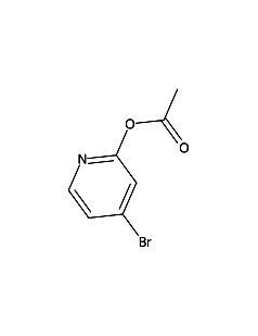 CC(=O)Oc1cc(Br)ccn1